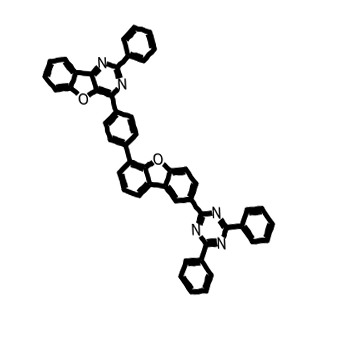 c1ccc(-c2nc(-c3ccccc3)nc(-c3ccc4oc5c(-c6ccc(-c7nc(-c8ccccc8)nc8c7oc7ccccc78)cc6)cccc5c4c3)n2)cc1